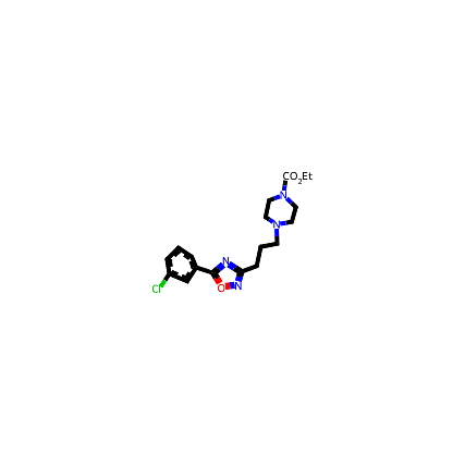 CCOC(=O)N1CCN(CCCc2noc(-c3cccc(Cl)c3)n2)CC1